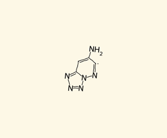 Nc1[c]nn2nnnc2c1